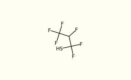 FC(C(F)(F)F)C(F)(F)S